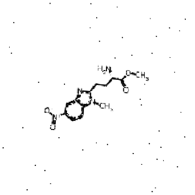 COC(=O)[C@@H](N)CCc1nc2cc([N+](=O)[O-])ccc2n1C